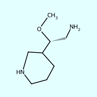 CO[C@H](CN)C1CCCNC1